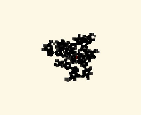 COP(=O)(S)OC1C[C@H](n2cnc3c(=O)[nH]c(N)nc32)O[C@@H]1COP(=O)(S)OC1C[C@H](n2cnc3c(=O)[nH]c(N)nc32)O[C@@H]1COP(=O)(S)OC1C[C@H](n2cc(C)c(=O)[nH]c2=O)O[C@@H]1COP(=O)(S)OC1C[C@H](n2cc(C)c(=O)[nH]c2=O)O[C@@H]1COP(=O)(S)OC1C[C@H](n2cc(C)c(N)nc2=O)O[C@@H]1COP(=O)(S)OC1C[C@H](n2cc(C)c(=O)[nH]c2=O)O[C@@H]1COP(=O)(S)OC1C[C@H](n2cc(C)c(N)nc2=O)O[C@@H]1C